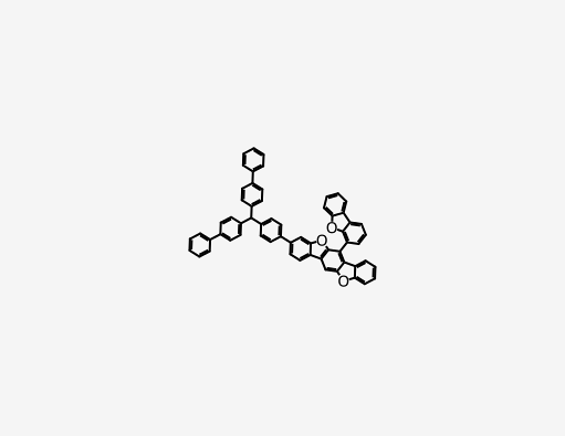 c1ccc(-c2ccc(C(c3ccc(-c4ccccc4)cc3)c3ccc(-c4ccc5c(c4)oc4c(-c6cccc7c6oc6ccccc67)c6c(cc45)oc4ccccc46)cc3)cc2)cc1